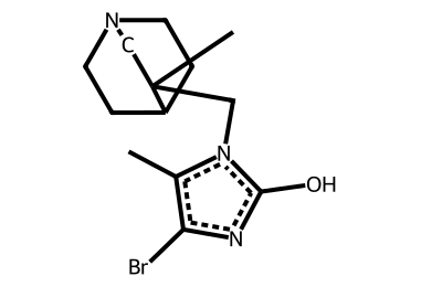 Cc1c(Br)nc(O)n1CC1(C)CN2CCC1CC2